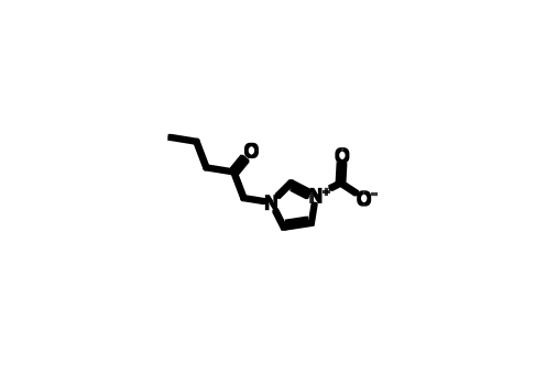 CCCC(=O)Cn1cc[n+](C(=O)[O-])c1